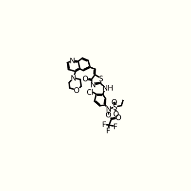 CCS(=O)(=O)N(OC(=O)C(F)(F)F)c1ccc(Cl)c(NC2=NC(=O)C(=Cc3ccc4nccc(N5CCOCC5)c4c3)S2)c1